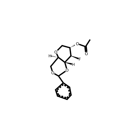 CC(=O)O[C@H]1CO[C@@H]2COC(c3ccccc3)O[C@H]2[C@@H]1F